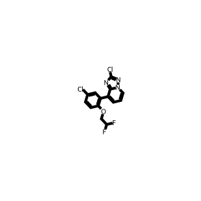 FC(F)COc1ccc(Cl)cc1-c1cccn2nc(Cl)nc12